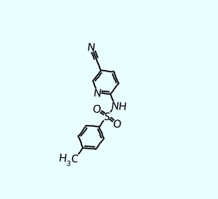 Cc1ccc(S(=O)(=O)Nc2ccc(C#N)cn2)cc1